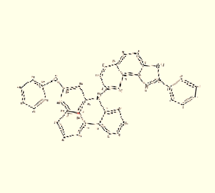 c1ccc(-c2nc3c(ccc4ccc(N(c5ccc6c(c5)oc5ccccc56)c5ccccc5-c5ccccc5)cc43)o2)cc1